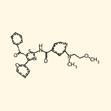 COCCN(C)c1cc(C(=O)Nc2nc(-c3ccco3)c(C(=O)c3ccccc3)s2)ccn1